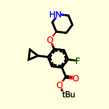 CC(C)(C)OC(=O)c1cc(C2CC2)c(O[C@@H]2CCCNC2)cc1F